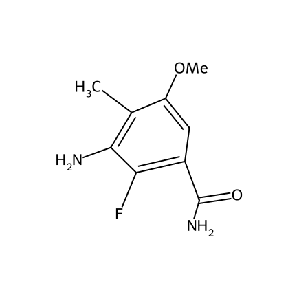 COc1cc(C(N)=O)c(F)c(N)c1C